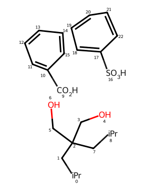 CC(C)CC(CO)(CO)CC(C)C.O=C(O)c1ccccc1.O=S(=O)(O)c1ccccc1